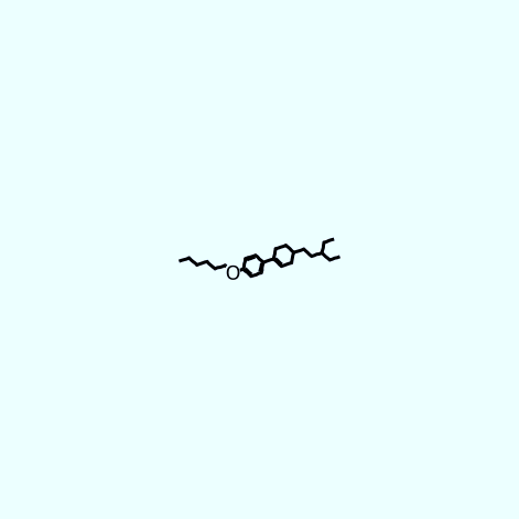 CCCCCCOc1ccc(C2=CCC(CCC(CC)CC)CC2)cc1